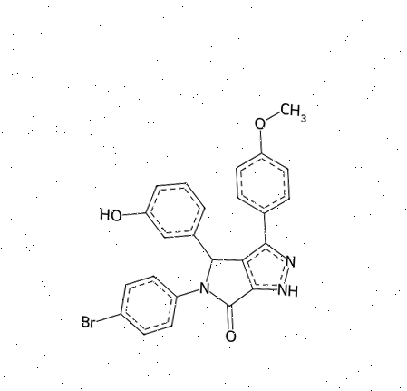 COc1ccc(-c2n[nH]c3c2C(c2cccc(O)c2)N(c2ccc(Br)cc2)C3=O)cc1